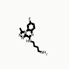 Cc1nnc2c(NCCCCN)nc3ccc(F)cc3n12